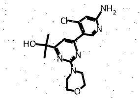 CC(C)(O)c1cc(-c2cnc(N)cc2Cl)nc(N2CCOCC2)n1